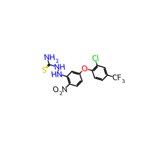 NC(=S)NNc1cc(Oc2ccc(C(F)(F)F)cc2Cl)ccc1[N+](=O)[O-]